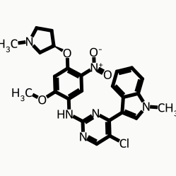 COc1cc(O[C@@H]2CCN(C)C2)c([N+](=O)[O-])cc1Nc1ncc(Cl)c(-c2cn(C)c3ccccc23)n1